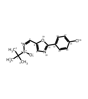 CC(C)(C)[S@+]([O-])/N=C\c1cnc(-c2ccc(Cl)cc2)o1